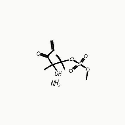 C=CC(=O)C(C)(O)C(C)(C)OS(=O)(=O)OC.N